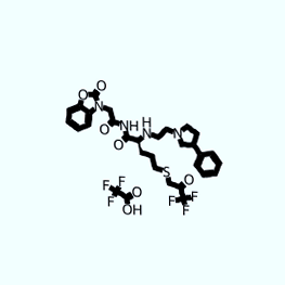 O=C(Cn1c(=O)oc2ccccc21)NC(=O)[C@H](CCCSCC(=O)C(F)(F)F)NCCN1CCC(c2ccccc2)C1.O=C(O)C(F)(F)F